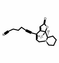 C[C@]12OC(=O)C=C1C(C#CCCCC#N)=CCN1CCCC[C@@H]12